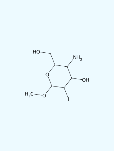 COC1OC(CO)C(N)C(O)C1I